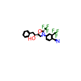 N#Cc1ccc(N2C[C@@H](C(O)Cc3ccccc3)O[C@@H]2C(F)(F)F)cc1C(F)(F)F